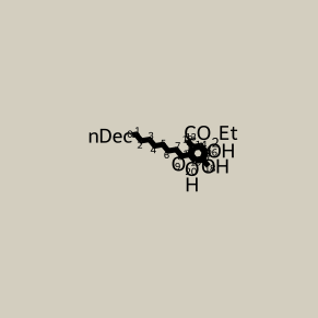 CCCCCCCCCCCCCCCCCC(=O)c1c(CC(=O)OCC)cc(O)c(O)c1O